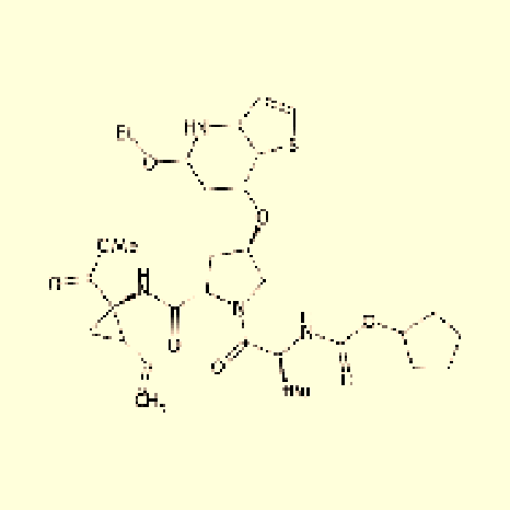 C=C[C@@H]1C[C@]1(NC(=O)[C@@H]1C[C@@H](OC2CC(OCC)NC3C=CSC32)CN1C(=O)[C@@H](NC(=O)OC1CCCC1)C(C)(C)C)C(=O)OC